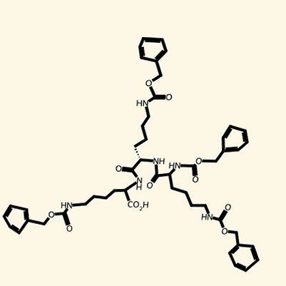 O=C(NCCCCC(NC(=O)[C@H](CCCCNC(=O)OCc1ccccc1)NC(=O)C(CCCCNC(=O)OCc1ccccc1)NC(=O)OCc1ccccc1)C(=O)O)OCc1ccccc1